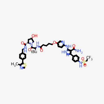 Cc1ncsc1-c1ccc(CNC(=O)[C@@H]2C[C@@H](O)CN2C(=O)[C@@H](NC(=O)CCCCOc2ccc(Nc3[nH]nc(-c4ccc(NS(=O)(=O)CC(F)(F)F)cc4)c3C(N)=O)nc2)C(C)(C)C)cc1